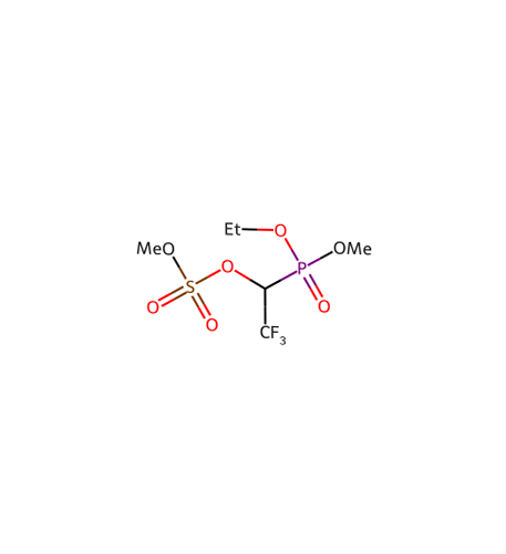 CCOP(=O)(OC)C(OS(=O)(=O)OC)C(F)(F)F